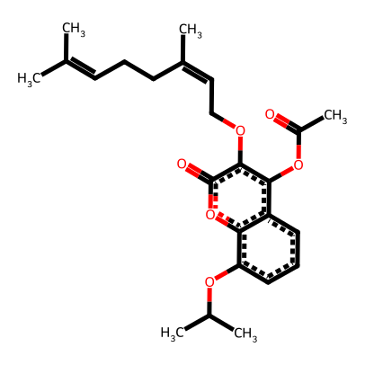 CC(=O)Oc1c(OCC=C(C)CCC=C(C)C)c(=O)oc2c(OC(C)C)cccc12